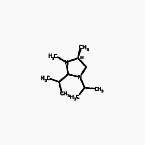 CC(C)C1N(C(C)C)C[C@H](C)N1C